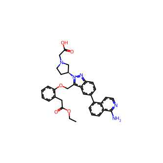 CCOC(=O)Cc1ccccc1OCc1c2cc(-c3cccc4c(N)nccc34)ccc2nn1[C@H]1CCN(CC(=O)O)C1